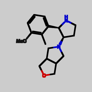 COc1cccc([C@H]2NCC[C@H]2N2CC3COCC3C2)c1C